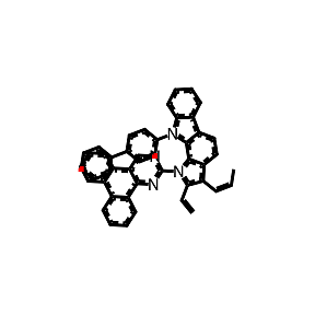 C=Cc1c(/C=C\C)c2ccc3c4ccccc4n(-c4ccc(-c5ccccc5)cc4)c3c2n1-c1ncc2c3ccccc3c3ccccc3c2n1